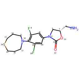 NC[C@H]1CN(c2cc(F)c(N3CCCSCCC3)c(F)c2)C(=O)O1